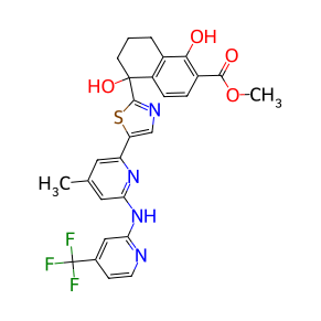 COC(=O)c1ccc2c(c1O)CCCC2(O)c1ncc(-c2cc(C)cc(Nc3cc(C(F)(F)F)ccn3)n2)s1